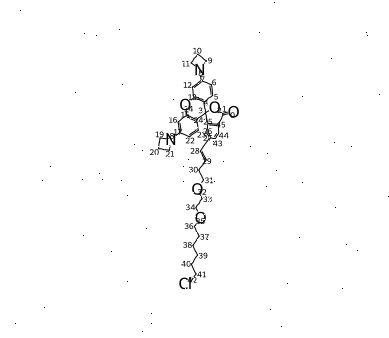 O=C1OC2(c3ccc(N4CCC4)cc3Oc3cc(N4CCC4)ccc32)c2cc(C=CCCOCCOCCCCCCCl)ccc21